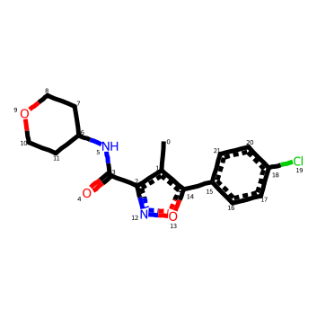 Cc1c(C(=O)NC2CCOCC2)noc1-c1ccc(Cl)cc1